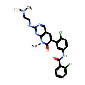 COn1c(=O)c(-c2cc(NC(=O)c3ccccc3Cl)ccc2Cl)cc2cnc(NCCN(C)C)nc21